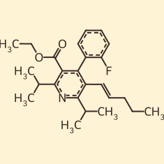 CCCC=Cc1c(C(C)C)nc(C(C)C)c(C(=O)OCC)c1-c1ccccc1F